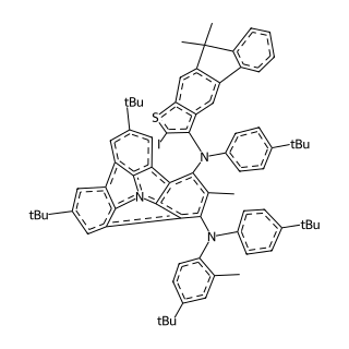 Cc1cc(C(C)(C)C)ccc1N(c1ccc(C(C)(C)C)cc1)c1c(C)c(N(c2ccc(C(C)(C)C)cc2)c2c(I)sc3cc4c(cc23)-c2ccccc2C4(C)C)c2c3cc(C(C)(C)C)cc4c5cc(C(C)(C)C)cc6c1c2n(c56)c43